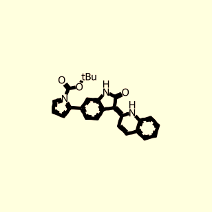 CC(C)(C)OC(=O)n1cccc1-c1ccc2c(c1)NC(=O)C2=C1C=Cc2ccccc2N1